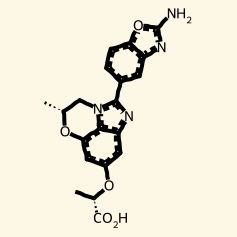 C[C@@H]1Cn2c(-c3ccc4oc(N)nc4c3)nc3cc(O[C@@H](C)C(=O)O)cc(c32)O1